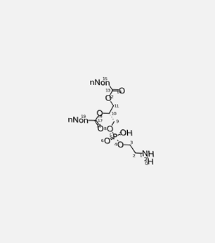 [2H]NCCOP(=O)(O)OC[C@@H](COC(=O)CCCCCCCCC)OC(=O)CCCCCCCCC